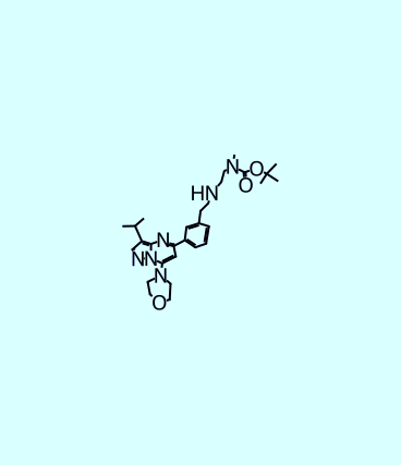 CC(C)c1cnn2c(N3CCOCC3)cc(-c3cccc(CCNCCN(C)C(=O)OC(C)(C)C)c3)nc12